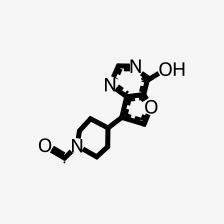 O=[C]N1CCC(c2coc3c(O)ncnc23)CC1